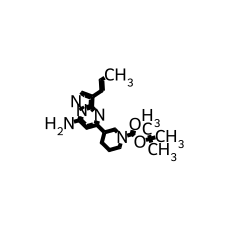 C/C=C/c1cnn2c(N)cc(C3CCCN(C(=O)OC(C)(C)C)C3)nc12